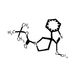 COC1=Nc2ccccc2C12CCN(C(=O)OC(C)(C)C)C2